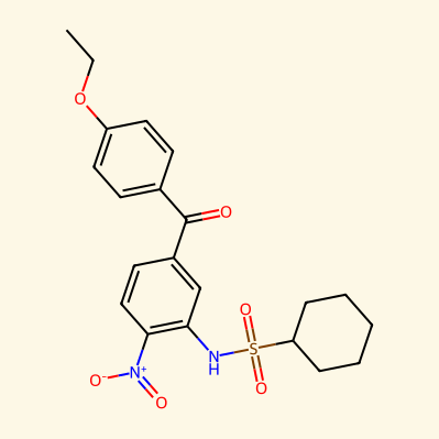 CCOc1ccc(C(=O)c2ccc([N+](=O)[O-])c(NS(=O)(=O)C3CCCCC3)c2)cc1